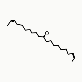 C/C=C\CCCCCCCC(=O)CCCCCCC/C=C\C